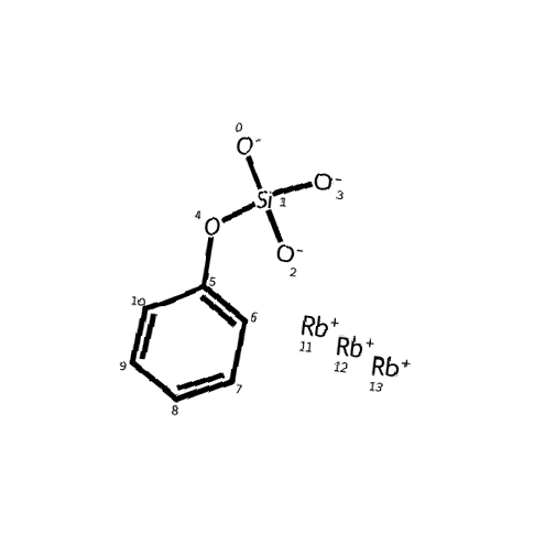 [O-][Si]([O-])([O-])Oc1ccccc1.[Rb+].[Rb+].[Rb+]